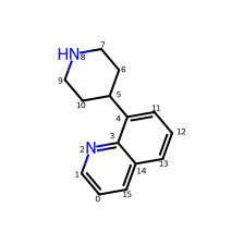 c1cnc2c(C3CCNCC3)cccc2c1